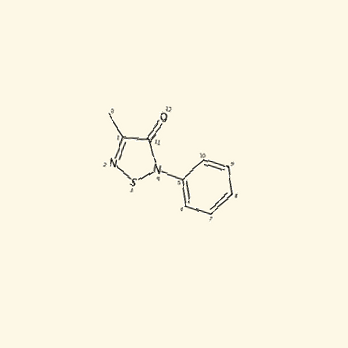 Cc1nsn(-c2ccccc2)c1=O